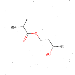 CCC(O)CCOC(=O)C(C)C(C)(C)C